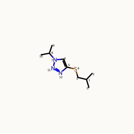 CC(C)CSc1cn(C(C)C)nn1